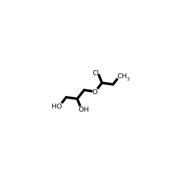 CCC(Cl)OCC(O)CO